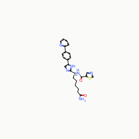 NC(=O)CCCCC[C@H](NC(=O)c1cncs1)c1ncc(-c2ccc(-c3ccccn3)cc2)[nH]1